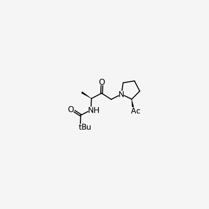 CC(=O)[C@@H]1CCCN1CC(=O)[C@H](C)NC(=O)C(C)(C)C